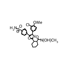 COc1ccc(-c2nc(C3CCCCC3C(=O)N(C)O)oc2-c2ccc(S(N)(=O)=O)cc2)cc1Cl